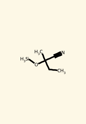 CCC(C)(C#N)O[SiH3]